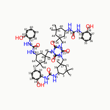 CC1(C)CC(NC(=O)Nc2ccccc2O)CC(C)(Cn2c(=O)n(CC3(C)CC(NC(=O)Nc4ccccc4O)CC(C)(C)C3)c(=O)n(CC3(C)CC(NC(=O)Nc4ccccc4O)CC(C)(C)C3)c2=O)C1